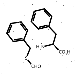 N[C@@H](Cc1ccccc1)C(=O)O.O=CSCc1ccccc1